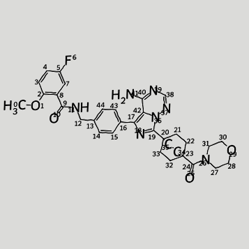 COc1ccc(F)cc1C(=O)NCc1ccc(-c2nc(C34CCC(C(=O)N5CCOCC5)(CC3)CC4)n3ncnc(N)c23)cc1